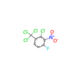 O=[N+]([O-])c1c(F)ccc(C(Cl)(Cl)Cl)c1Cl